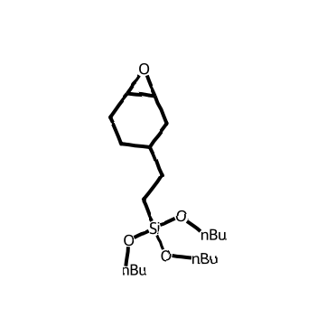 CCCCO[Si](CCC1CCC2OC2C1)(OCCCC)OCCCC